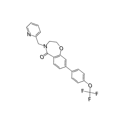 O=C1c2ccc(-c3ccc(OC(F)(F)F)cc3)cc2OCCN1Cc1ccccn1